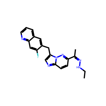 CCN/N=C(/C)c1ccc2ncc(Cc3cc4cccnc4cc3F)n2n1